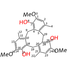 COc1cc(C)c2c(c1O)Cc1c(C)cc(OC)c(O)c1Cc1c(C)cc(OC)c(O)c1C2